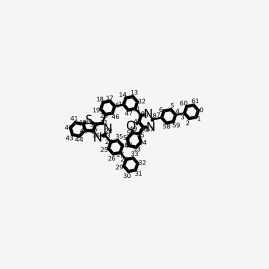 c1ccc(-c2ccc(-c3nc(-c4cccc(-c5cccc(-c6nc(-c7ccc(-c8ccccc8)cc7)nc7c6sc6ccccc67)c5)c4)c4oc5ccccc5c4n3)cc2)cc1